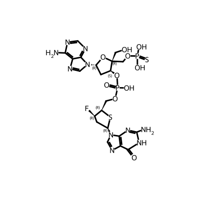 Nc1nc2c(ncn2[C@H]2C[C@@H](F)[C@@H](COP(=O)(O)O[C@H]3C[C@H](n4cnc5c(N)ncnc54)O[C@]3(CO)COP(O)(O)=S)S2)c(=O)[nH]1